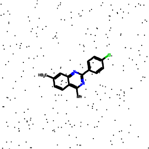 CCCc1nc(-c2ccc(Cl)cc2)nc2cc(C(=O)O)ccc12